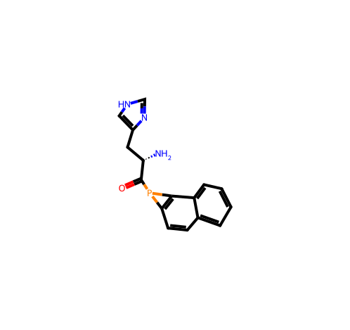 N[C@@H](Cc1c[nH]cn1)C(=O)P1c2ccc3ccccc3c21